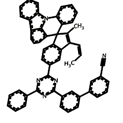 C/C=C\C1=C(C)C2(c3ccc(-c4nc(-c5ccccc5)nc(-c5cccc(-c6cccc(C#N)c6)c5)n4)cc31)c1ccccc1-n1c3ccccc3c3cccc2c31